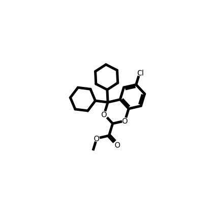 COC(=O)C1Oc2ccc(Cl)cc2C(C2CCCCC2)(C2CCCCC2)O1